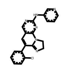 Clc1ccccc1C1=Cc2cnc(Nc3cccnc3)nc2N2CCN=C12